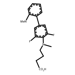 CNc1ccccc1-c1cc(F)c(N(C)CCCC(=O)O)c(F)c1